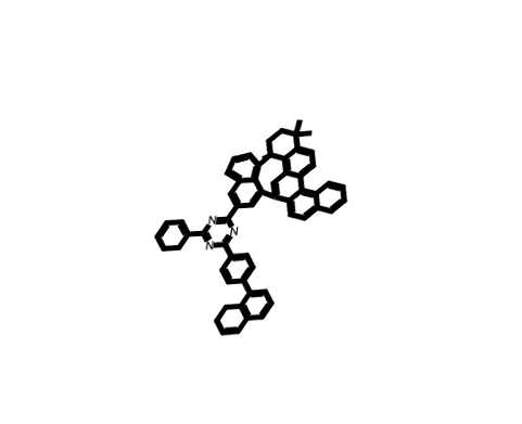 CC1(C)CCC2(C)c3c1ccc1c3cc(c3ccc4ccccc4c31)-c1cc(-c3nc(C4=CC=CCC4)nc(-c4ccc(-c5cccc6c5CCC=C6)cc4)n3)cc3cccc2c13